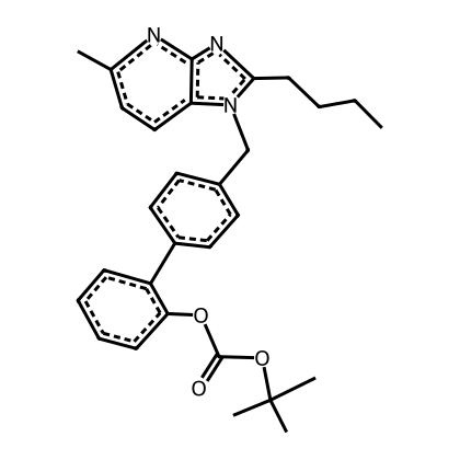 CCCCc1nc2nc(C)ccc2n1Cc1ccc(-c2ccccc2OC(=O)OC(C)(C)C)cc1